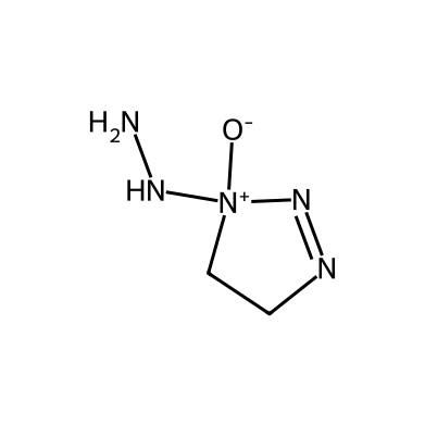 NN[N+]1([O-])CCN=N1